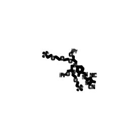 [C-]#[N+]c1c(/N=N/c2ccc(N(CC(COC(C)C)OCCOCCOCC[N+](C)(C)C)CC(COC(C)C)OCCOCC[N+](C)(C)C)cc2C)sc(C#N)c1C